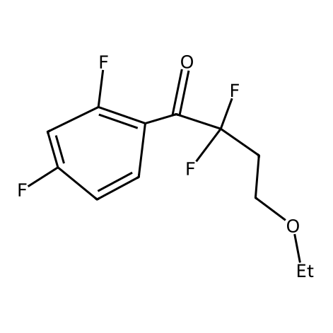 CCOCCC(F)(F)C(=O)c1ccc(F)cc1F